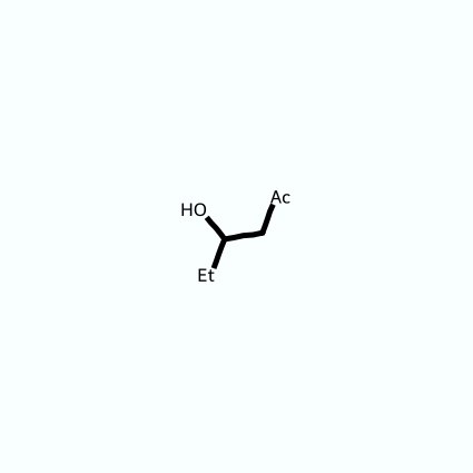 [CH2]CC(O)CC(C)=O